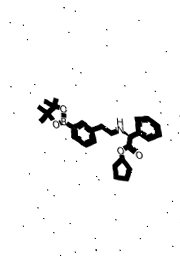 CC1(C)OB(c2cccc(CCN[C@H](C(=O)OC3CCCC3)c3ccccc3)c2)OC1(C)C